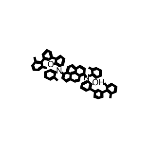 Cc1ccccc1N(c1cccc(-c2cccc(-c3c(C)cccc3C)c2)c1O)c1ccc2ccc3c(N(c4ccccc4C)c4cccc5c4oc4c(-c6c(C)cccc6C)cccc45)ccc4ccc1c2c43